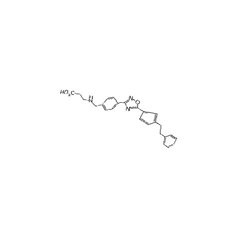 O=C(O)CCNCc1ccc(-c2noc(-c3ccc(CCc4ccccc4)cc3)n2)cc1